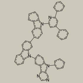 c1ccc(-c2cc(-c3ccccc3)nc(-n3c4ccccc4c4cc(-c5ccc6c7ccccc7n(-c7ccc8c(c7)c7ncncc7n8-c7ccccc7)c6c5)ccc43)c2)cc1